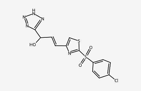 O=S(=O)(c1ccc(Cl)cc1)c1nc(C=CC(O)c2nn[nH]n2)cs1